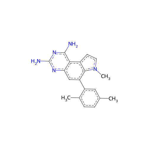 Cc1ccc(C)c(-c2cc3nc(N)nc(N)c3c3ccn(C)c23)c1